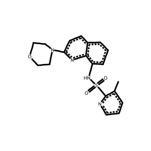 Cc1cccnc1S(=O)(=O)Nc1cccc2ccc(N3CCOCC3)nc12